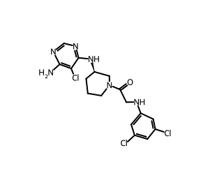 Nc1ncnc(N[C@@H]2CCCN(C(=O)CNc3cc(Cl)cc(Cl)c3)C2)c1Cl